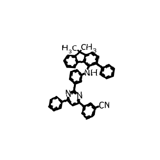 CC1(C)c2ccccc2-c2c1ccc(-c1ccccc1)c2Nc1cccc(-c2nc(-c3ccccc3)cc(-c3cccc(C#N)c3)n2)c1